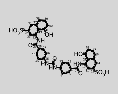 O=C(Nc1ccc(C(=O)Nc2cc(S(=O)(=O)O)cc3cccc(O)c23)cc1)Nc1ccc(C(=O)Nc2cc(S(=O)(=O)O)cc3cccc(O)c23)cc1